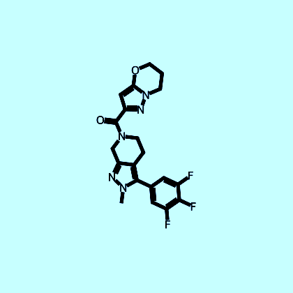 Cn1nc2c(c1-c1cc(F)c(F)c(F)c1)CCN(C(=O)c1cc3n(n1)CCCO3)C2